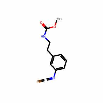 CC(C)(C)OC(=O)NCCc1cccc(N=C=S)c1